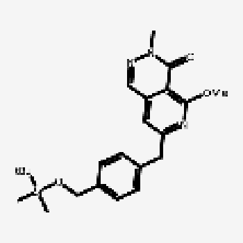 COc1nc(Cc2ccc(CO[Si](C)(C)C(C)(C)C)cc2)cc2cnn(C)c(=O)c12